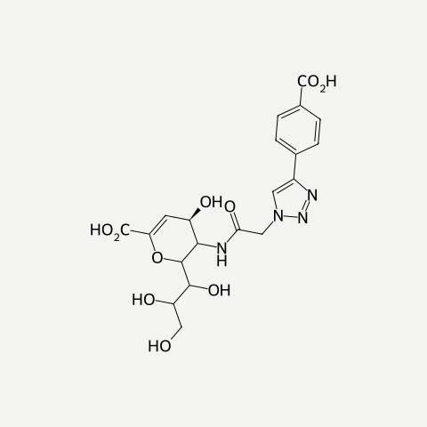 O=C(Cn1cc(-c2ccc(C(=O)O)cc2)nn1)NC1C(C(O)C(O)CO)OC(C(=O)O)=C[C@H]1O